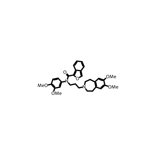 COc1ccc(N(CCCN2CCc3cc(OC)c(OC)cc3CC2)C(=O)c2occ3ccccc23)cc1OC